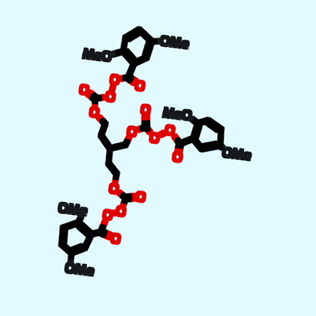 COc1ccc(OC)c(C(=O)OOC(=O)OCCC(CCOC(=O)OOC(=O)c2cc(OC)ccc2OC)COC(=O)OOC(=O)c2cc(OC)ccc2OC)c1